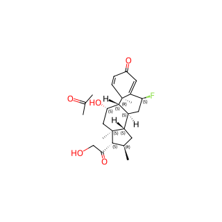 CC(C)=O.C[C@@H]1C[C@H]2[C@@H]3C[C@H](F)C4=CC(=O)C=C[C@]4(C)[C@H]3[C@@H](O)C[C@]2(C)[C@H]1C(=O)CO